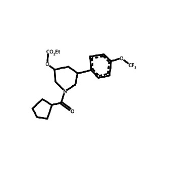 CCOC(=O)OC1CC(c2ccc(OC(F)(F)F)cc2)CN(C(=O)C2CCCC2)C1